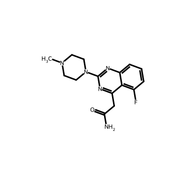 CN1CCN(c2nc(CC(N)=O)c3c(F)cccc3n2)CC1